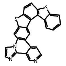 c1ccc2c(c1)sc1ccc3sc4cc5c(cc4c3c12)c1ccncc1c1nccn51